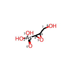 O=[As](O)(O)C1OC1CO